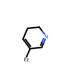 CCC1=CC[CH]N=C1